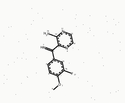 COc1ccc(C(=N)c2nccnc2N)cc1F